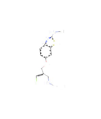 CCCNc1nc2ccc(OC/C(=C/F)CNC(=O)O)cc2s1